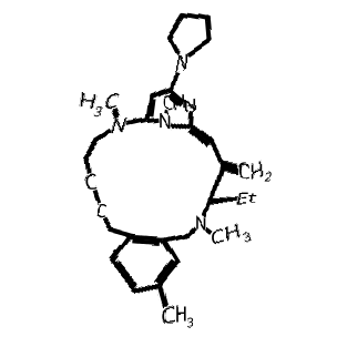 C=C1/C=C2/N=C(N3CCCC3)C=C(N(C)CCCCCc3ccc(C)cc3CN(C)C1CC)N2C